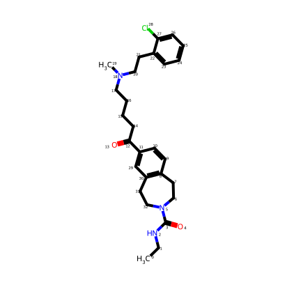 CCNC(=O)N1CCc2ccc(C(=O)CCCCN(C)CCc3ccccc3Cl)cc2CC1